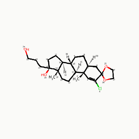 C[C@]12C=C(Cl)C3(C[C@@H]1CC[C@@H]1[C@@H]2CC[C@@]2(C)[C@H]1CC[C@@]2(O)CCCO)OCCO3